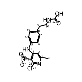 Cc1cc(Nc2ccc(CCNC(=O)O)cc2)c([N+](=O)[O-])c(Cl)n1